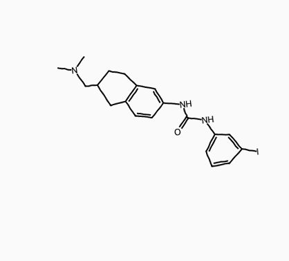 CN(C)CC1CCc2cc(NC(=O)Nc3cccc(I)c3)ccc2C1